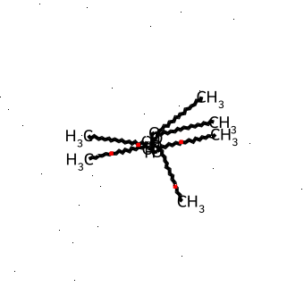 CCCCCCCCCCCCCCCCCC1(CCCCCCCCCCCCCCCCC)OC[C@@H]2OC(CCCCCCCCCCCCCCCCC)(CCCCCCCCCCCCCCCCC)O[C@H]([C@H]3COC(CCCCCCCCCCCCCCCCC)(CCCCCCCCCCCCCCCCC)O3)[C@@H]2O1